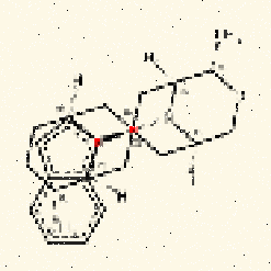 C[C@@H]1CC[C@@H]2C[C@H]1C[C@@H](N1[C@H]3CO[C@@H](C)[C@@H]1C[C@H](n1ccc4ccccc41)C3)C2